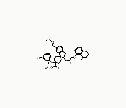 COC(=O)C1(Nc2cccc(Cl)c2)CCC2(CC1)c1cc(CSC(C)=O)ccc1CC2C[C@@H](C)COc1ccnc2c1[C@H](C)CCC2